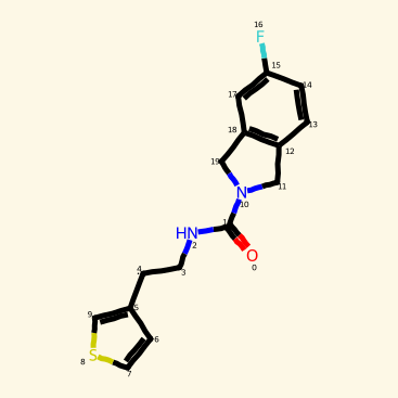 O=C(NC[CH]c1ccsc1)N1Cc2ccc(F)cc2C1